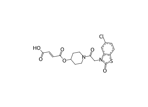 O=C(O)C=CC(=O)OC1CCN(C(=O)Cn2c(=O)sc3ccc(Cl)cc32)CC1